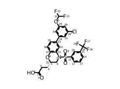 O=C(O)CC[C@H]1CN(S(=O)(=O)c2cccc(C(F)(F)F)c2)c2cc(-c3cc(Cl)cc(OC(F)F)c3)ccc2O1